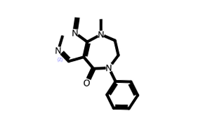 C=NC1=C(/C=N\C)C(=O)N(c2ccccc2)CCN1C